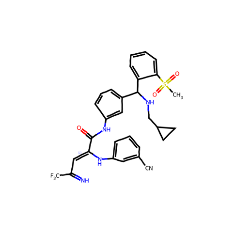 CS(=O)(=O)c1ccccc1C(NCC1CC1)c1cccc(NC(=O)/C(=C/C(=N)C(F)(F)F)Nc2cccc(C#N)c2)c1